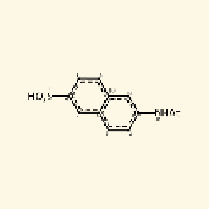 CC(=O)Nc1ccc2cc(S(=O)(=O)O)ccc2c1